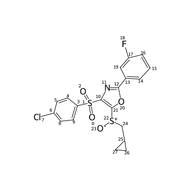 O=S(=O)(c1ccc(Cl)cc1)c1nc(-c2cccc(F)c2)oc1[S+]([O-])CC1CC1